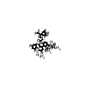 Cc1nc([C@H](Cc2cc(F)cc(F)c2)NC(=O)Cn2nc(C(F)F)c3c2C(F)(F)[C@@H]2CC32)c(-c2cccc3c(NS(C)(=O)=O)nn(C)c23)cc1N